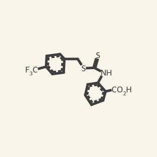 O=C(O)c1ccccc1NC(=S)SCc1ccc(C(F)(F)F)cc1